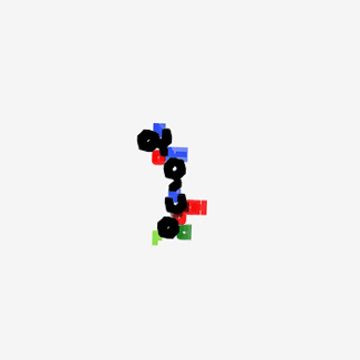 O=C(N[C@H]1CC[C@H](CCN2CC[C@H](Oc3ccc(F)cc3Cl)[C@@H](O)C2)CC1)c1ccnc2ccccc12